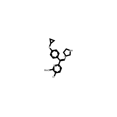 COc1nc(C(=C[C@H]2CCNC2)c2ccc(SC3CC3)cc2)ccc1Cl